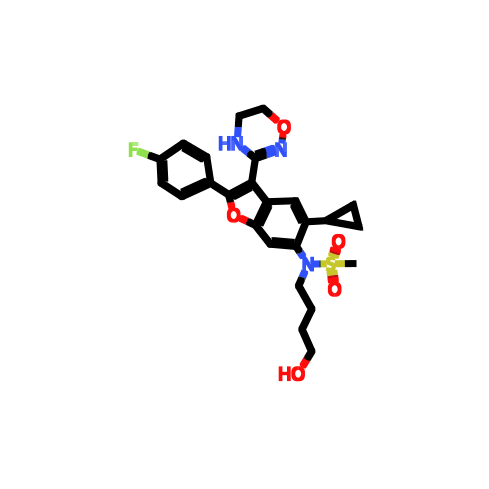 CS(=O)(=O)N(CCCCO)c1cc2oc(-c3ccc(F)cc3)c(C3=NOCCN3)c2cc1C1CC1